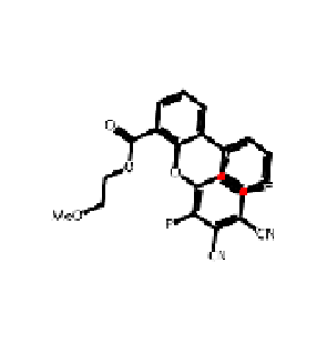 COCCOC(=O)c1cccc(-c2ccccc2)c1Oc1c(F)c(F)c(C#N)c(C#N)c1F